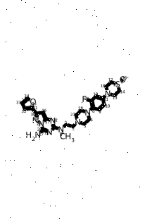 CN(CCN1CCN(c2ccc(N3CC[S+]([O-])CC3)cc2F)CC1)c1nc(N)n2nc(-c3ccco3)cc2n1